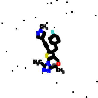 Cc1nnc2n1-c1sc(C#Cc3cnn(C)c3)c(Cc3ccc(F)cc3)c1CO[C@H]2C